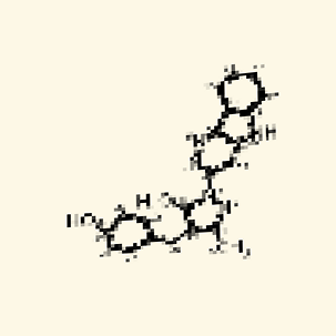 Cc1nn(-c2nnc3c(n2)[nH]c2ccccc23)c(C)c1Cc1ccc(O)cc1